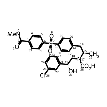 CNC(=O)c1ccc(S(=O)(=O)c2ccc(C[C@@H](C)N(C[C@H](O)c3cccc(Cl)c3)C(=O)O)cc2)cc1